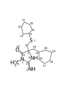 CN1C(=N)NC(CSC2CCCCC2)(CC2CCCCC2)C1=O